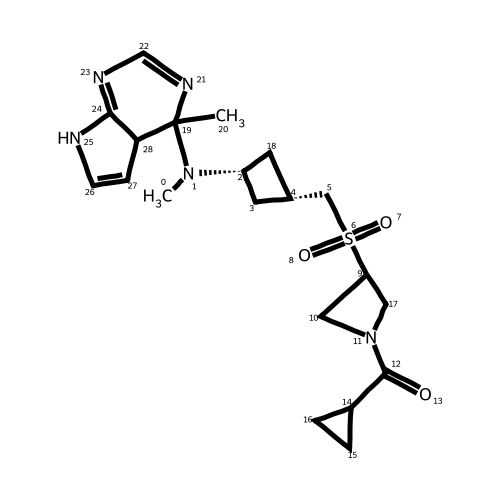 CN([C@H]1C[C@@H](CS(=O)(=O)C2CN(C(=O)C3CC3)C2)C1)C1(C)N=CN=C2NC=CC21